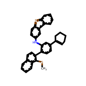 CSc1c(-c2ccc(C3=CCCCC3)cc2Nc2ccc3sc4ccccc4c3c2)ccc2ccccc12